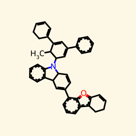 CC1C(C2=CC=CCC2)=CC(c2ccccc2)=CC1N1c2ccccc2C2C=C(c3cccc4c5c(oc34)C=CCC5)C=CC21